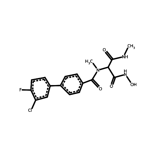 CNC(=O)C(C(=O)NO)N(C)C(=O)c1ccc(-c2ccc(F)c(Cl)c2)cc1